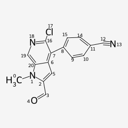 Cn1c(C=O)cc2c(-c3ccc(C#N)cc3)c(Cl)ncc21